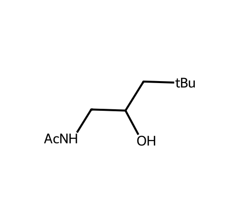 CC(=O)NCC(O)CC(C)(C)C